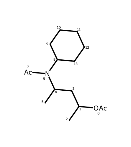 CC(=O)OC(C)CC(C)N(C(C)=O)C1CCCCC1